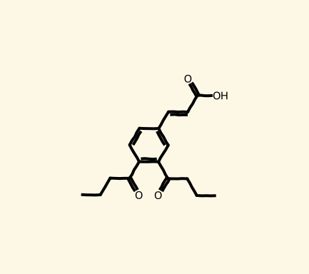 CCCC(=O)c1ccc(C=CC(=O)O)cc1C(=O)CCC